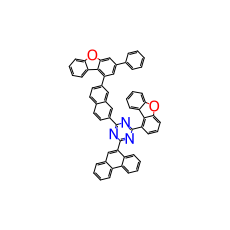 c1ccc(-c2cc(-c3ccc4ccc(-c5nc(-c6cc7ccccc7c7ccccc67)nc(-c6cccc7oc8ccccc8c67)n5)cc4c3)c3c(c2)oc2ccccc23)cc1